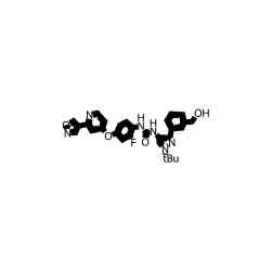 CC(C)(C)n1cc(NC(=O)Nc2ccc(Oc3ccnc(-c4cnoc4)c3)cc2F)c(-c2cccc(CO)c2)n1